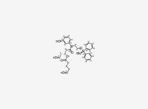 CCCCCCCCCCCCCC(=O)O[C@H](CCCCCCCCCCC)CC(=O)N(CCO[Si](c1ccccc1)(c1ccccc1)C(C)(C)C)c1cccc(O)c1